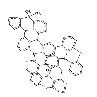 CC1(C)c2ccccc2N2c3cccc4c3B(c3cccc1c32)c1cc(-c2cccc3c2N2c5cccc6c5B(c5cccc7c5N6c5ccccc5S7)c5cccc(c52)S3)cc2c1N4c1ccccc1C2(C)C